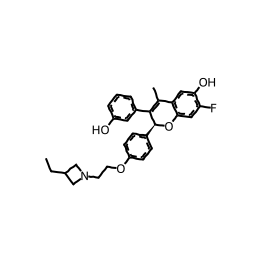 CCC1CN(CCOc2ccc([C@@H]3Oc4cc(F)c(O)cc4C(C)=C3c3cccc(O)c3)cc2)C1